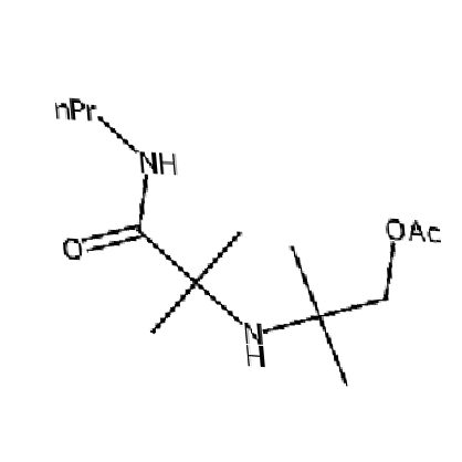 CCCNC(=O)C(C)(C)NC(C)(C)COC(C)=O